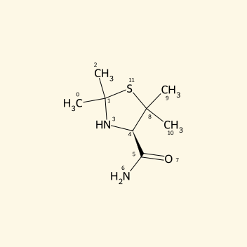 CC1(C)N[C@H](C(N)=O)C(C)(C)S1